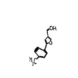 Cc1ccc(-c2cc(CO)co2)cc1